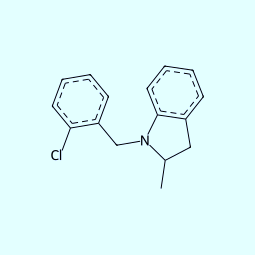 CC1Cc2ccccc2N1Cc1ccccc1Cl